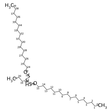 CCCCCCCCCCCCCCCCOS[SiH](CCC)SOCCCCCCCCCCCCCCCC